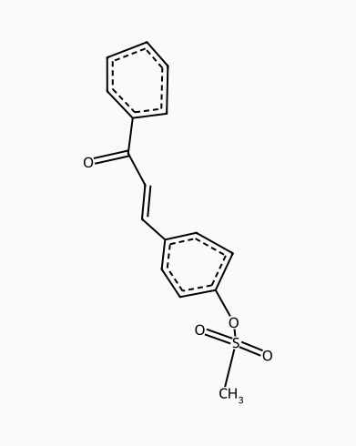 CS(=O)(=O)Oc1ccc(C=CC(=O)c2ccccc2)cc1